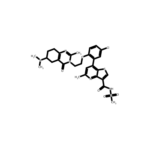 Cc1cc(-c2cc(Cl)ccc2OCCn2c(C)nc3c(c2=O)CC(N(C)C)CC3)c2scc(C(=O)NS(C)(=O)=O)c2n1